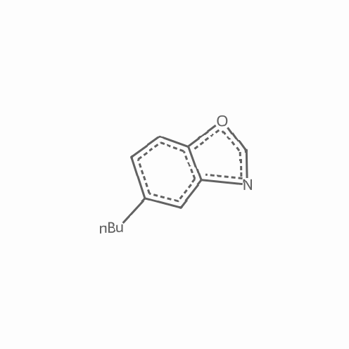 [CH2]CCCc1ccc2ocnc2c1